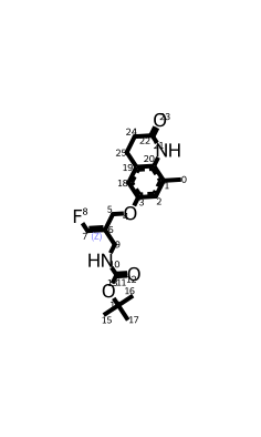 Cc1cc(OC/C(=C\F)CNC(=O)OC(C)(C)C)cc2c1NC(=O)CC2